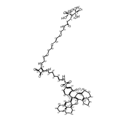 O=C(CCC(P(=O)(O)O)P(=O)(O)O)NCCOCCOCCOCCNc1c(NCCCCCNS(=O)(=O)c2ccc(C3=c4cc5c6c(c4Oc4c3cc3c7c4CCCN7CCC3)CCC[N+]=6CCC5)c(S(=O)(=O)O)c2)c(=O)c1=O